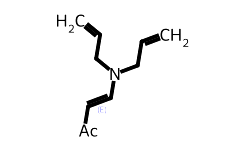 C=CCN(/C=C/C(C)=O)CC=C